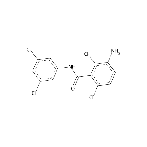 Nc1ccc(Cl)c(C(=O)Nc2cc(Cl)cc(Cl)c2)c1Cl